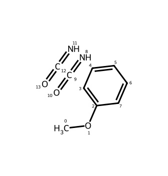 COc1ccccc1.N=C=O.N=C=O